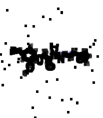 COc1cc(Br)ccc1OCC(=O)N/N=C/C=C/c1ccco1